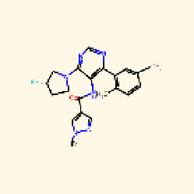 Cc1ccc(C)c(-c2ncnc(N3CC[C@H](F)C3)c2NC(=O)c2cnn(C(C)C)c2)c1